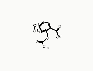 CC(=O)Oc1ccccc1C(=O)O.CO